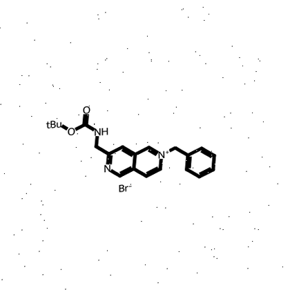 CC(C)(C)OC(=O)NCc1cc2c[n+](Cc3ccccc3)ccc2cn1.[Br-]